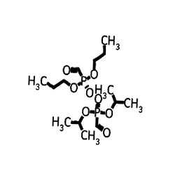 CC(C)OP(=O)(C=O)OC(C)C.CCCOP(=O)(C=O)OCCC